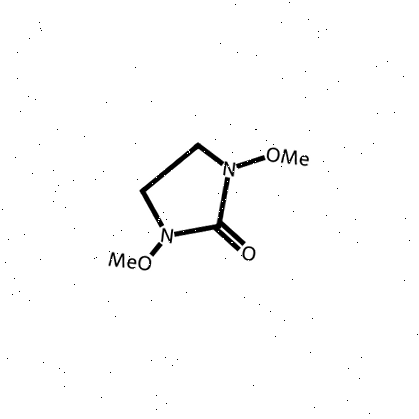 CON1CCN(OC)C1=O